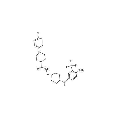 Cc1ccc(NC2CCC(CNC(=O)C3CCN(c4ccc(Cl)cc4)CC3)CC2)cc1C(F)(F)F